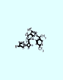 C[C@@H](c1ccc(C(F)(F)F)nc1)n1nc(C#N)c2c(=O)[nH]c(C3CCC3n3cc(F)cn3)nc21